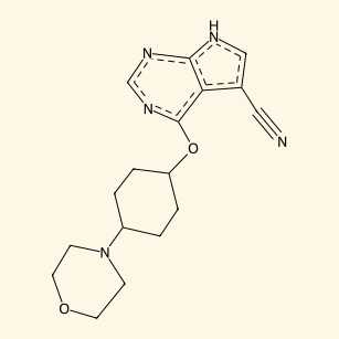 N#Cc1c[nH]c2ncnc(OC3CCC(N4CCOCC4)CC3)c12